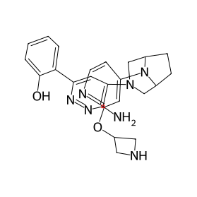 Nc1nnc(-c2ccccc2O)cc1N1CC2CCC(C1)N2c1ccnc(OC2CNC2)c1